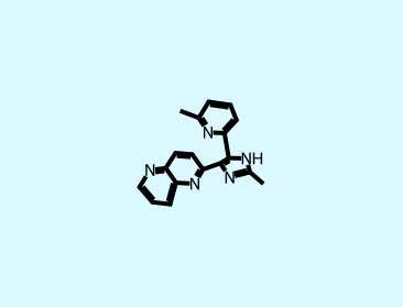 Cc1cccc(-c2[nH]c(C)nc2-c2ccc3ncccc3n2)n1